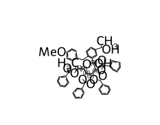 COc1ccc(Cc2ccc(C(C)O)cc2[C@@]2(O)O[C@H]([C@H](C)OC(=O)c3ccccc3)[C@@H](OC(=O)c3ccccc3)[C@H](OC(=O)c3ccccc3)[C@H]2OC(=O)c2ccccc2)cc1